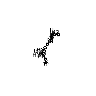 Cc1ncsc1-c1ccc(CNC(=O)[C@@H]2C[C@@H](O)CN2C(=O)[C@@H](NC(=O)[C@H]2CC[C@@H](c3ccc(-c4cnc(N5CCN6c7cc(-c8ccccc8O)nnc7NC[C@H]6C5)nc4)cc3)CC2)C(C)(C)C)cc1